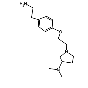 CN(C)C1CCN(CCOc2ccc(CCN)cc2)C1